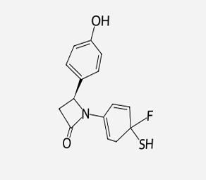 O=C1C[C@@H](c2ccc(O)cc2)N1C1=CCC(F)(S)C=C1